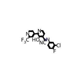 N#C/C(=N\c1ccc(F)c(Cl)c1)c1ccnc(-c2ccnc(C(F)(F)F)c2)c1O